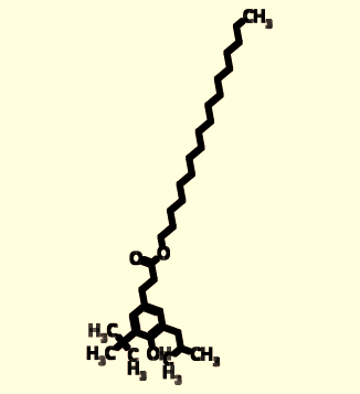 CCCCCCCCCCCCCCCCCCOC(=O)CCc1cc(CC(C)C)c(O)c(C(C)(C)C)c1